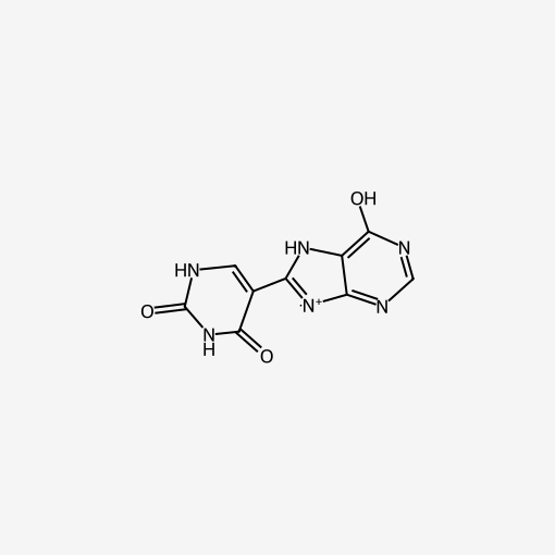 O=c1[nH]cc(C2=[N+]c3ncnc(O)c3N2)c(=O)[nH]1